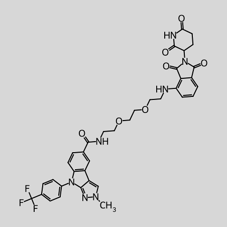 Cn1cc2c3cc(C(=O)NCCOCCOCCNc4cccc5c4C(=O)N(C4CCC(=O)NC4=O)C5=O)ccc3n(-c3ccc(C(F)(F)F)cc3)c2n1